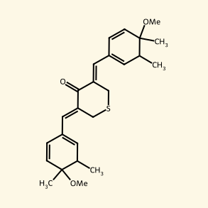 COC1(C)C=CC(C=C2CSCC(=CC3=CC(C)C(C)(OC)C=C3)C2=O)=CC1C